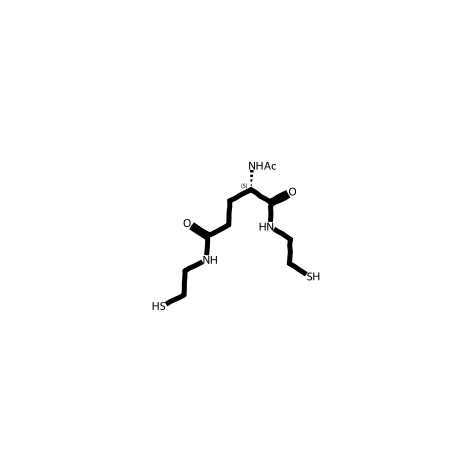 CC(=O)N[C@@H](CCC(=O)NCCS)C(=O)NCCS